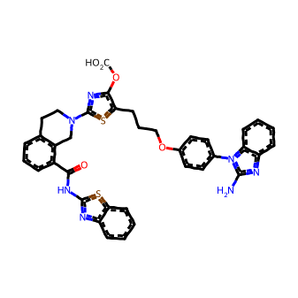 Nc1nc2ccccc2n1-c1ccc(OCCCc2sc(N3CCc4cccc(C(=O)Nc5nc6ccccc6s5)c4C3)nc2OC(=O)O)cc1